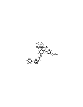 COc1ccc(OC(=O)N(CC(=O)O)[C@@H](C)c2ccc(OCCc3noc(-c4ccccc4)n3)cc2)cc1